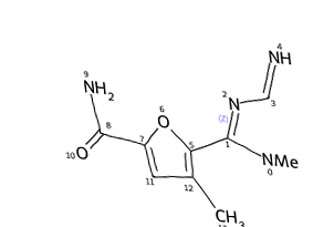 CN/C(=N\C=N)c1oc(C(N)=O)cc1C